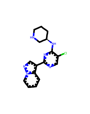 Clc1cnc(-c2cnn3ccccc23)nc1N[C@@H]1CCCNC1